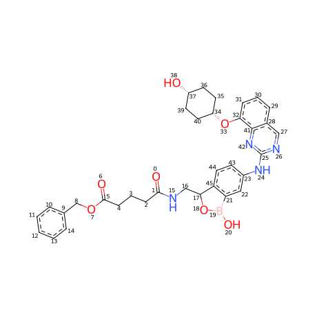 O=C(CCCC(=O)OCc1ccccc1)NCC1OB(O)c2cc(Nc3ncc4cccc(O[C@H]5CC[C@@H](O)CC5)c4n3)ccc21